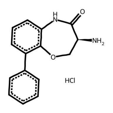 Cl.N[C@H]1COc2c(cccc2-c2ccccc2)NC1=O